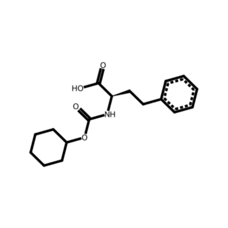 O=C(N[C@H](CCc1ccccc1)C(=O)O)OC1CCCCC1